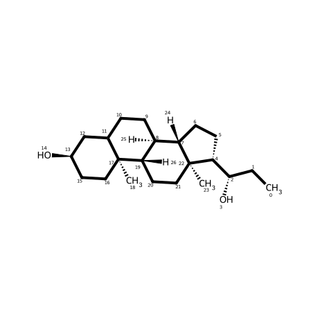 CC[C@H](O)[C@H]1CC[C@H]2[C@@H]3CCC4C[C@H](O)CC[C@]4(C)[C@H]3CC[C@]12C